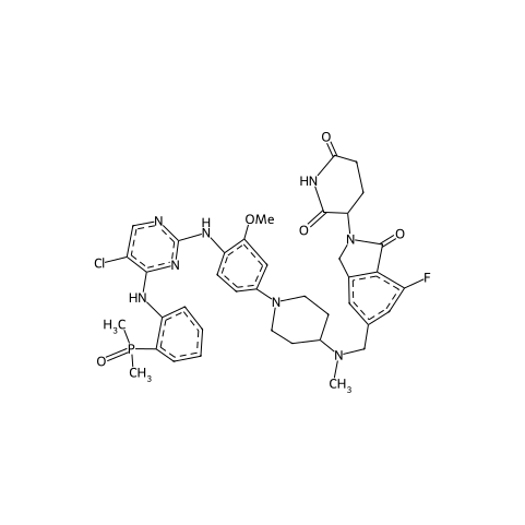 COc1cc(N2CCC(N(C)Cc3cc(F)c4c(c3)CN(C3CCC(=O)NC3=O)C4=O)CC2)ccc1Nc1ncc(Cl)c(Nc2ccccc2P(C)(C)=O)n1